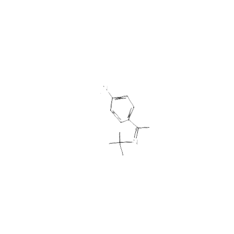 C/C(=N/C(C)(C)C)c1ccc(N)cc1